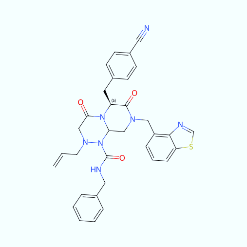 C=CCN1CC(=O)N2C(CN(Cc3cccc4scnc34)C(=O)[C@@H]2Cc2ccc(C#N)cc2)N1C(=O)NCc1ccccc1